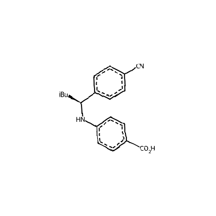 CCC(C)[C@H](Nc1ccc(C(=O)O)cc1)c1ccc(C#N)cc1